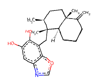 C=C1CCC[C@H]2[C@](C)(Cc3c(O)c(O)cc4ncoc34)[C@@H](C)CC[C@]12C